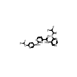 O=C(Nc1cncnc1OC(F)C(F)F)c1ccnc(Nc2ccc(OC(F)F)nc2)n1